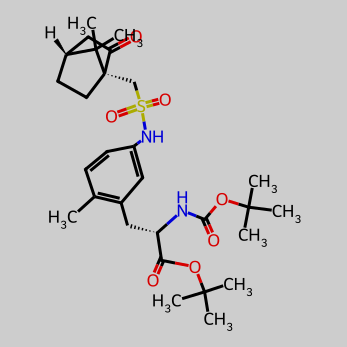 Cc1ccc(NS(=O)(=O)C[C@@]23CC[C@H](CC2=O)C3(C)C)cc1C[C@H](NC(=O)OC(C)(C)C)C(=O)OC(C)(C)C